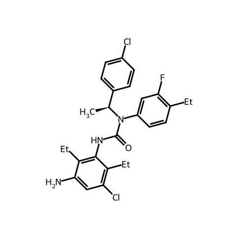 CCc1ccc(N(C(=O)Nc2c(CC)c(N)cc(Cl)c2CC)[C@@H](C)c2ccc(Cl)cc2)cc1F